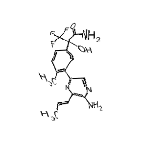 CC=Cc1nc(-c2cc(C(O)(C(N)=O)C(F)(F)F)ccc2C)cnc1N